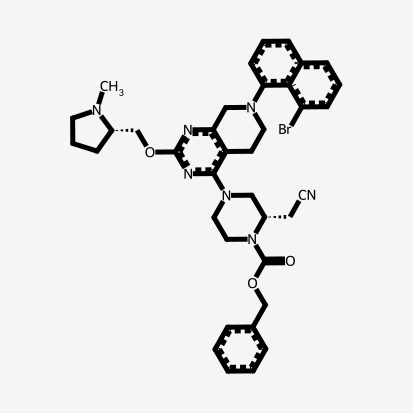 CN1CCC[C@H]1COc1nc2c(c(N3CCN(C(=O)OCc4ccccc4)[C@@H](CC#N)C3)n1)CCN(c1cccc3cccc(Br)c13)C2